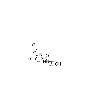 CC(C)[C@](C)(CO)NC(=O)c1ccc(C2CC2)c(OCC2CC2)n1